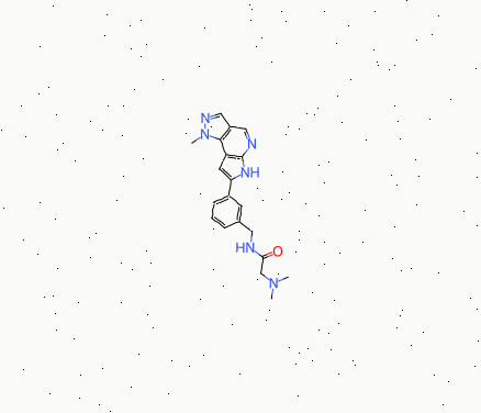 CN(C)CC(=O)NCc1cccc(-c2cc3c(ncc4cnn(C)c43)[nH]2)c1